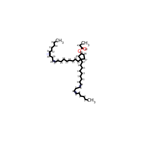 CCCCC/C=C\C/C=C\CCCCCCCCC1(CCCCCCCC/C=C\C/C=C\CCCCC)CCC(OC(=O)CC)C1